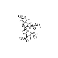 CC1(C)CCC(N(C(=O)C(C)(C)C)[C@H]2CCN(C(=O)[C@@H]3CN(C(N)=O)C[C@H]3c3ccc(Cl)cc3)C2)CC1